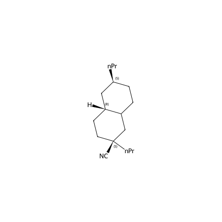 CCC[C@H]1CCC2C[C@](C#N)(CCC)CC[C@@H]2C1